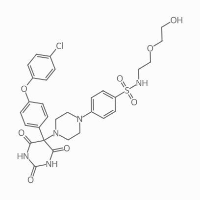 O=C1NC(=O)C(c2ccc(Oc3ccc(Cl)cc3)cc2)(N2CCN(c3ccc(S(=O)(=O)NCCOCCO)cc3)CC2)C(=O)N1